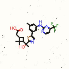 Cc1cc(Nc2nccc(C(F)(F)F)n2)cc(-c2cnc(C(C)(O)C3CC(CC(=O)O)C3(C)C)s2)c1